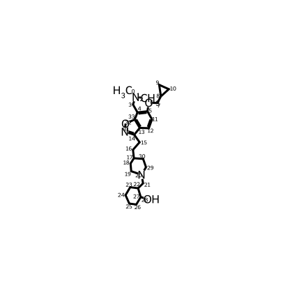 CN(C)Cc1c(OCC2CC2)ccc2c(CCC3CCN(CC4CCCCC4O)CC3)noc12